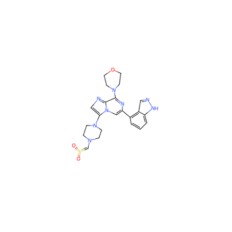 O=S(=O)=CN1CCN(c2cnc3c(N4CCOCC4)nc(-c4cccc5[nH]ncc45)cn23)CC1